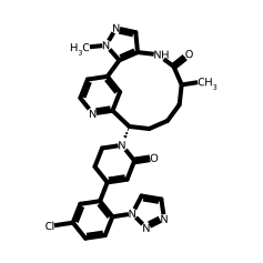 CC1CCC[C@H](N2CCC(c3cc(Cl)ccc3-n3ccnn3)=CC2=O)c2cc(ccn2)-c2c(cnn2C)NC1=O